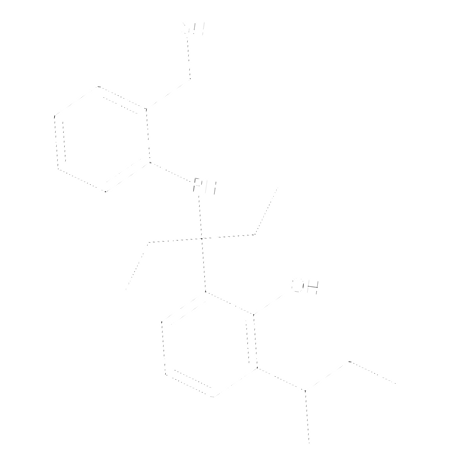 CCC(C)c1cccc(C(CC)(CC)Pc2ccccc2CS)c1O